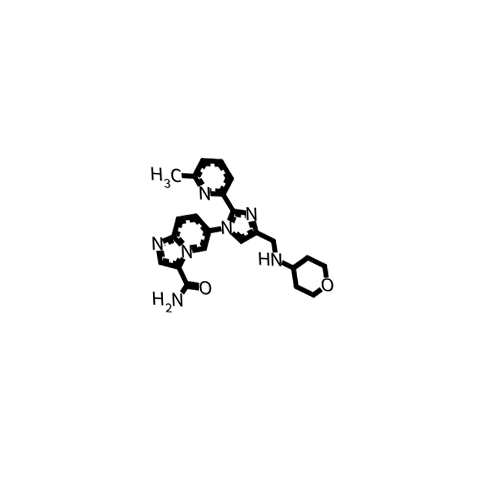 Cc1cccc(-c2nc(CNC3CCOCC3)cn2-c2ccc3ncc(C(N)=O)n3c2)n1